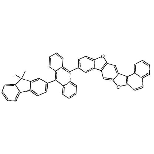 CC1(C)c2ccccc2-c2ccc(-c3c4ccccc4c(-c4ccc5oc6cc7c(cc6c5c4)oc4ccc5ccccc5c47)c4ccccc34)cc21